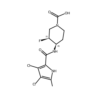 Cc1[nH]c(C(=O)N[C@@H]2CCN(C(=O)O)C[C@@H]2F)c(Cl)c1Cl